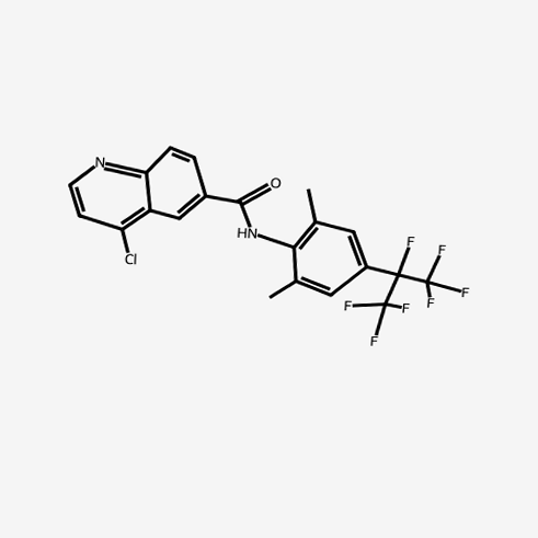 Cc1cc(C(F)(C(F)(F)F)C(F)(F)F)cc(C)c1NC(=O)c1ccc2nccc(Cl)c2c1